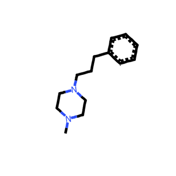 CN1CCN(CCCc2[c]cccc2)CC1